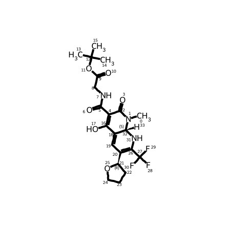 CN1C(=O)C(C(=O)NCC(=O)OC(C)(C)C)=C(O)C2=CC([C@H]3CCCO3)=C(C(F)(F)F)N[C@H]21